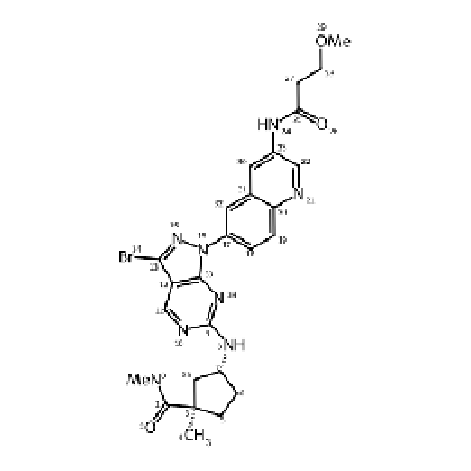 CNC(=O)[C@]1(C)CC[C@@H](Nc2ncc3c(Br)nn(-c4ccc5ncc(NC(=O)CCOC)cc5c4)c3n2)C1